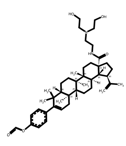 C=C(C)[C@@H]1CC[C@]2(C(=O)NCCN(CCO)CCO)CC[C@]3(C)[C@H](CC[C@@H]4[C@@]5(C)CC=C(c6ccc(OC=O)cc6)C(C)(C)[C@@H]5CC[C@]43C)[C@@H]12